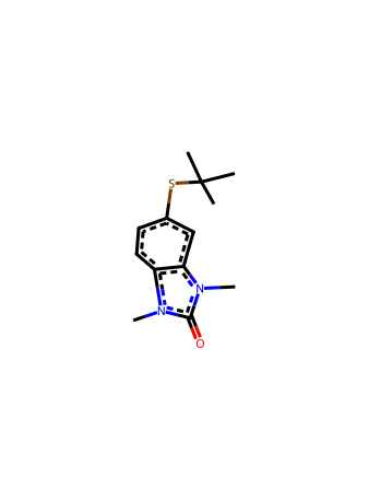 Cn1c(=O)n(C)c2cc(SC(C)(C)C)ccc21